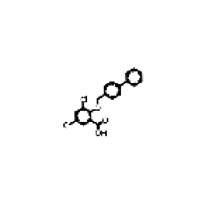 O=C(O)c1cc(Cl)cc(Cl)c1OCc1ccc(-c2ccccc2)cc1